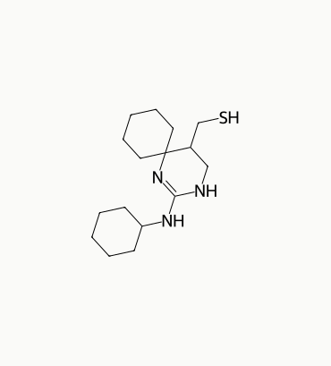 SCC1CNC(NC2CCCCC2)=NC12CCCCC2